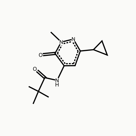 Cn1nc(C2CC2)cc(NC(=O)C(C)(C)C)c1=O